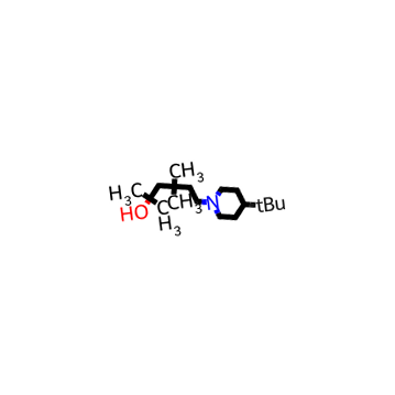 CC(C)(O)CC(C)(C)CCN1CCC(C(C)(C)C)CC1